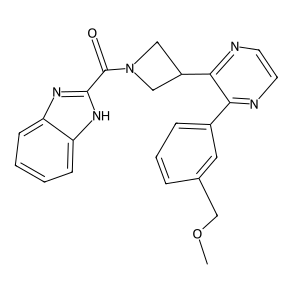 COCc1cccc(-c2nccnc2C2CN(C(=O)c3nc4ccccc4[nH]3)C2)c1